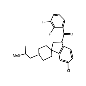 CSC(C)CN1CCC2(CC1)CN(C(=O)c1cccc(F)c1F)c1ccc(Cl)cc12